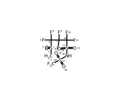 CS(=O)(=O)C(F)(F)C(F)(F)C(F)(F)S(=O)(=O)NS(=O)(=O)C(F)(F)F